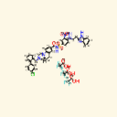 O=C(NS(=O)(=O)c1ccc(NCCc2nc3ccccc3[nH]2)c([N+](=O)[O-])c1)c1ccc2c(c1)CC[C@H]1CN(Cc3ccccc3-c3ccc(Cl)cc3)CCN21.O=C(O)C(F)(F)F.O=C(O)C(F)(F)F.O=C(O)C(F)(F)F